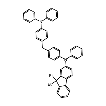 CCC1(CC)c2ccccc2-c2ccc(N(c3ccccc3)c3ccc(Cc4ccc(N(c5ccccc5)c5ccccc5)cc4)cc3)cc21